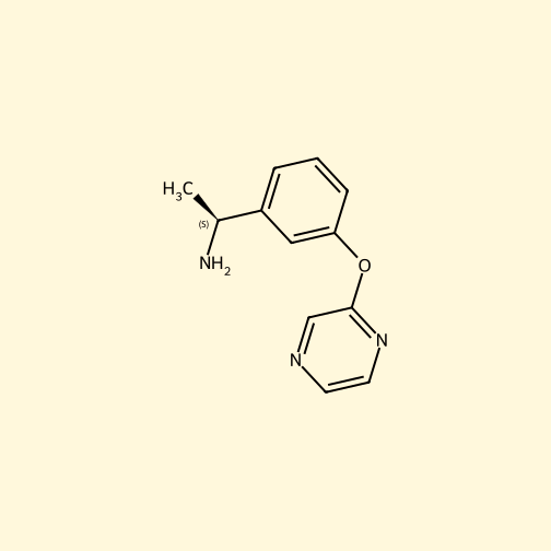 C[C@H](N)c1cccc(Oc2cnccn2)c1